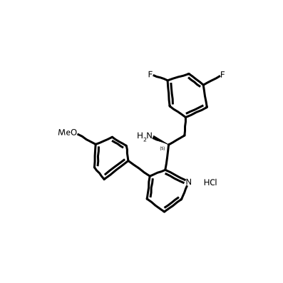 COc1ccc(-c2cccnc2[C@@H](N)Cc2cc(F)cc(F)c2)cc1.Cl